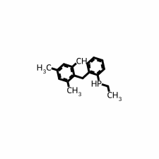 CCPc1ccccc1Cc1c(C)cc(C)cc1C